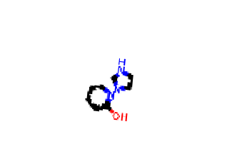 Oc1ccccn1.c1c[nH]cn1